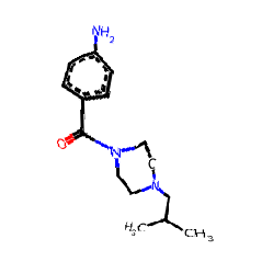 C[C](C)CN1CCN(C(=O)c2ccc(N)cc2)CC1